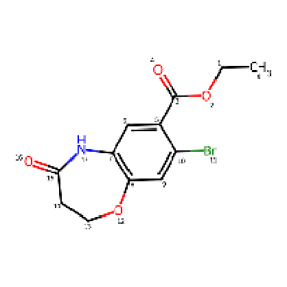 CCOC(=O)c1cc2c(cc1Br)OCCC(=O)N2